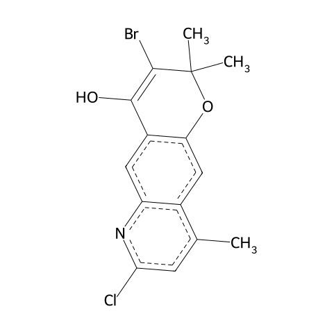 Cc1cc(Cl)nc2cc3c(cc12)OC(C)(C)C(Br)=C3O